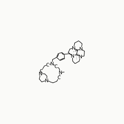 CN1CCCN2CCN(CCCN(Cc3ccc(C[N+]45CCCN6CCN7CCCN(CC4)[C@]7(C)[C@@]65C)cc3)CC1)CC2